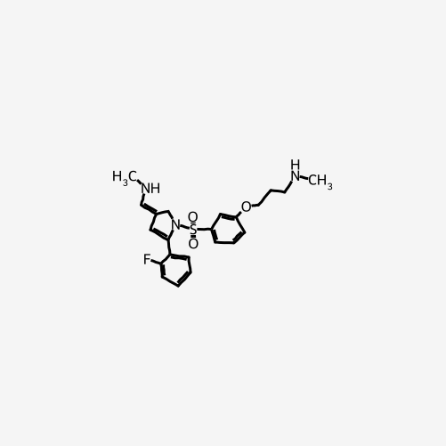 CNC=C1C=C(c2ccccc2F)N(S(=O)(=O)c2cccc(OCCCNC)c2)C1